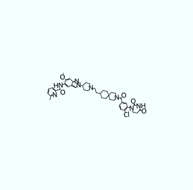 COc1cc2nn(C3CCN(CCC4CCC5(CC4)CCN(C(=O)c4ccc(Cl)c(N6CCC(=O)NC6=O)c4)CC5)CC3)cc2cc1NC(=O)c1cccc(C)n1